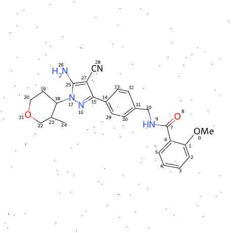 COc1ccccc1C(=O)NCc1ccc(-c2nn(C3CCOCC3C)c(N)c2C#N)cc1